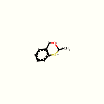 CC1OCc2ccccc2S1